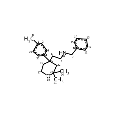 Cc1ccc(C2(CCNCc3ccccc3)CCOC(C)(C)C2)cc1